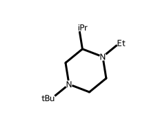 CCN1CCN(C(C)(C)C)CC1C(C)C